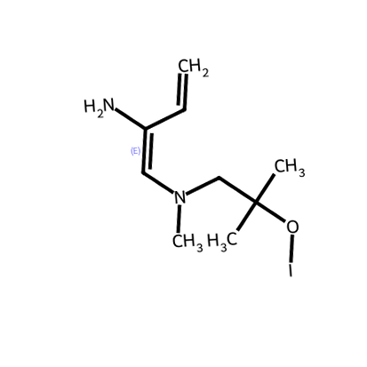 C=C/C(N)=C\N(C)CC(C)(C)OI